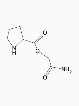 NC(=O)COC(=O)C1CCCN1